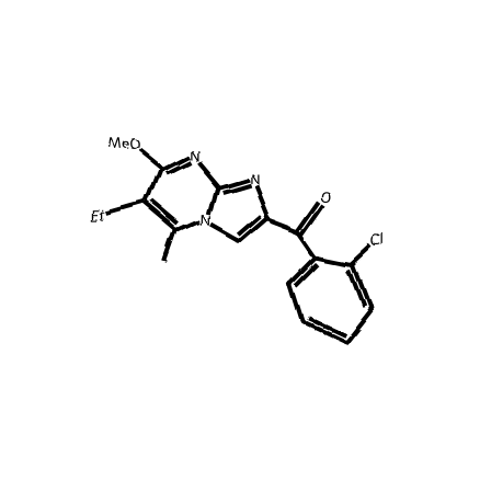 CCc1c(OC)nc2nc(C(=O)c3ccccc3Cl)cn2c1C